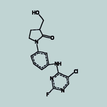 O=C1C(CO)CCN1c1cccc(Nc2nc(F)ncc2Cl)c1